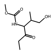 CCC(=O)C(NC(=O)OC)C(C)CO